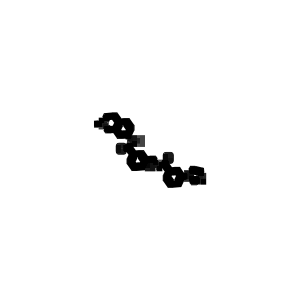 CN1CCc2ccc(NC(=O)c3cccc(CNC(=O)c4cccc(-n5ccnc5)c4)c3)cc2C1